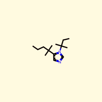 CCCC(C)(C)c1cncn1C(C)(C)CC